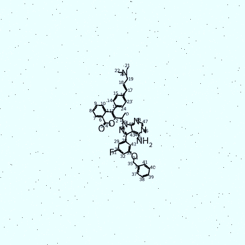 CC(c1oc(=O)c2ccccc2c1-c1ccc(C=CCN(C)C)cc1)n1nc(-c2cc(F)cc(OCc3ccccc3)c2)c2c(N)ncnc21